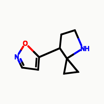 c1cc(C2CCNC23CC3)on1